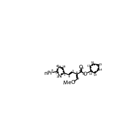 CCCc1nc(C=CC(=COC)C(=O)Oc2ccccc2)cs1